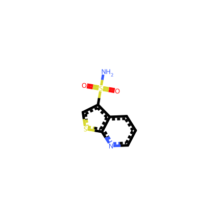 NS(=O)(=O)c1csc2ncccc12